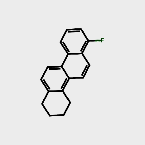 Fc1cccc2c1ccc1c3c(ccc12)CCCC3